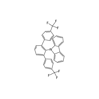 FC(F)(F)c1ccc(-c2cccc(-c3ccc(C(F)(F)F)cc3)c2-n2c3ccccc3c3ccccc32)cc1